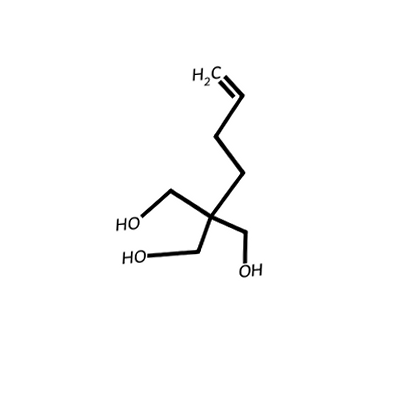 C=CCCC(CO)(CO)CO